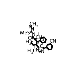 C=N/N=C(/NC(=O)C(C)(C)C(C(/C=C\C)=C/N(C)/C=N\C(=C)c1cccc(C#N)c1)c1ccccc1)SC